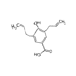 C=CCc1cc(C(=O)O)cc(CC=C)c1O